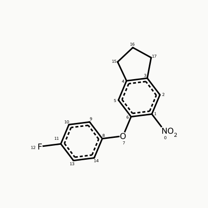 O=[N+]([O-])c1cc2c(cc1Oc1ccc(F)cc1)CCC2